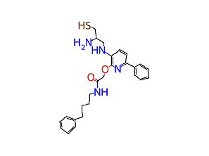 NC(CS)CNc1ccc(-c2ccccc2)nc1OCC(=O)NCCCCc1ccccc1